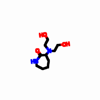 O=C1NCCCCC1N(CCO)CCO